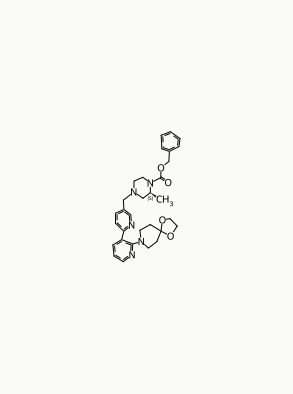 C[C@H]1CN(Cc2ccc(-c3cccnc3N3CCC4(CC3)OCCO4)nc2)CCN1C(=O)OCc1ccccc1